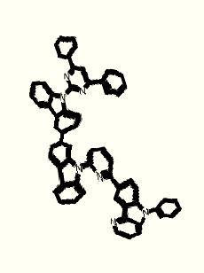 c1ccc(-c2cc(-c3ccccc3)nc(-n3c4ccccc4c4cc(-c5ccc6c7ccccc7n(-c7cccc(-c8ccc9c(c8)c8ncccc8n9-c8ccccc8)n7)c6c5)ccc43)n2)cc1